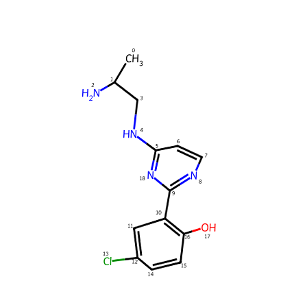 CC(N)CNc1ccnc(-c2cc(Cl)ccc2O)n1